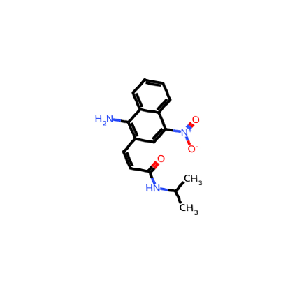 CC(C)NC(=O)/C=C\c1cc([N+](=O)[O-])c2ccccc2c1N